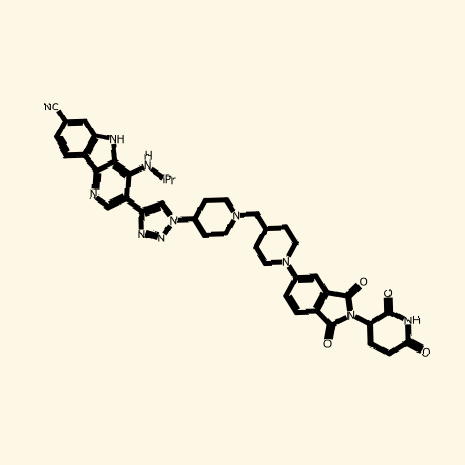 CC(C)Nc1c(-c2cn(C3CCN(CC4CCN(c5ccc6c(c5)C(=O)N(C5CCC(=O)NC5=O)C6=O)CC4)CC3)nn2)cnc2c1[nH]c1cc(C#N)ccc12